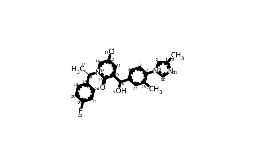 Cc1cn(-c2ccc(C(O)c3cc(Cl)cn([C@@H](C)c4ccc(F)cc4)c3=O)cc2C)cn1